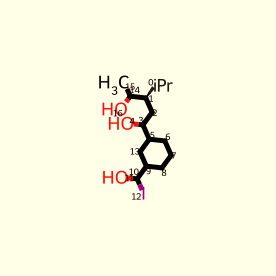 CC(C)[C@@H](CC(O)C1CCCC(C(O)I)C1)C(C)O